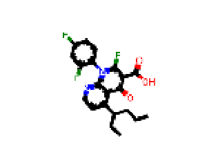 CCCC(CC)c1ccnc2c1c(=O)c(C(=O)O)c(F)n2-c1ccc(F)cc1F